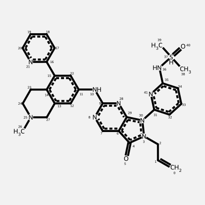 C=CCn1c(=O)c2cnc(Nc3cc4c(c(-c5ccccn5)c3)CCN(C)C4)nc2n1-c1cccc(N[SH](C)(C)=O)n1